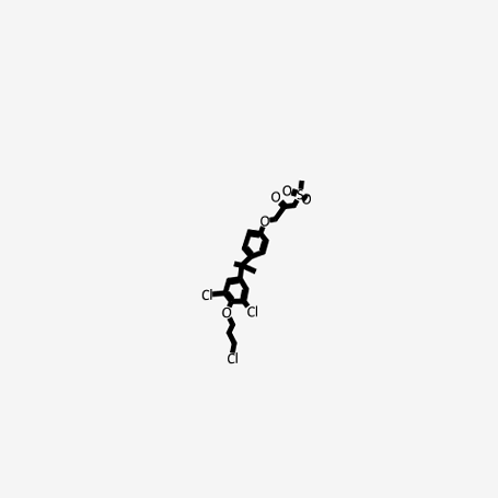 CC(C)(c1ccc(OCC(=O)CS(C)(=O)=O)cc1)c1cc(Cl)c(OCCCCl)c(Cl)c1